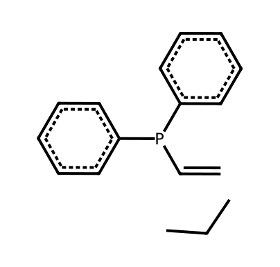 C=CP(c1ccccc1)c1ccccc1.CCC